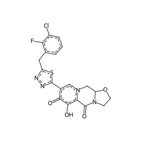 O=C1c2c(O)c(=O)c(-c3nnc(Cc4cccc(Cl)c4F)s3)cn2CC2OCCN12